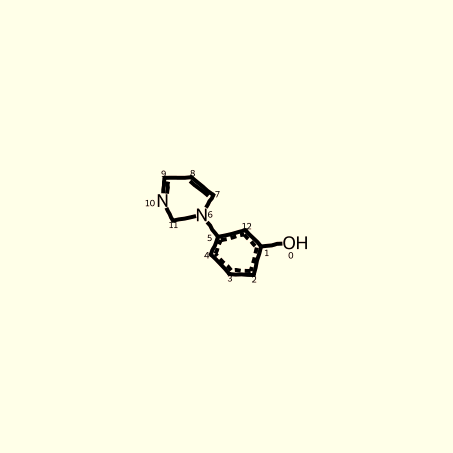 Oc1cccc(N2C=CC=NC2)c1